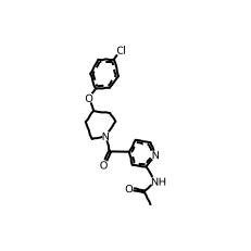 CC(=O)Nc1cc(C(=O)N2CCC(Oc3ccc(Cl)cc3)CC2)ccn1